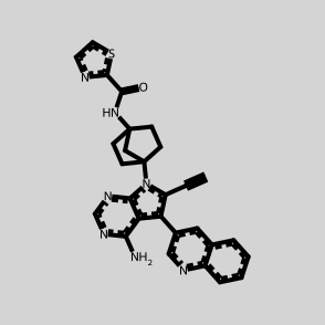 C#Cc1c(-c2cnc3ccccc3c2)c2c(N)ncnc2n1C12CCC(NC(=O)c3nccs3)(CC1)C2